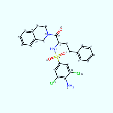 Nc1c(Cl)cc(S(=O)(=O)NC(CCc2ccccc2)C(=O)N2CCc3ccccc3C2)cc1Cl